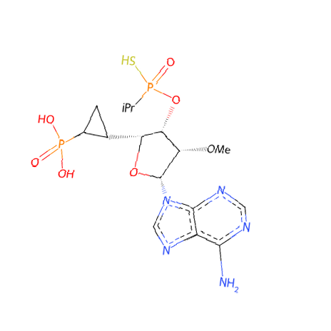 CO[C@H]1[C@@H](OP(=O)(S)C(C)C)[C@@H](C2CC2P(=O)(O)O)O[C@H]1n1cnc2c(N)ncnc21